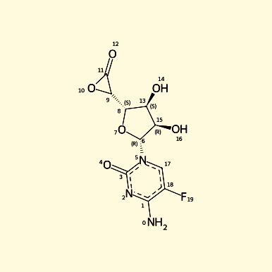 Nc1nc(=O)n([C@@H]2O[C@H](C3OC3=O)[C@@H](O)[C@H]2O)cc1F